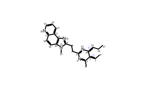 C/C=c1/c(C)nc(CCc2nc3c4cccnc4ccc3n2C)n/c1=C/CC